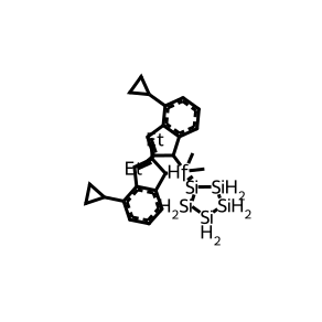 CCC1=Cc2c(C3CC3)cccc2[CH]1[Hf]([CH3])([CH3])([CH]1C(CC)=Cc2c(C3CC3)cccc21)=[Si]1[SiH2][SiH2][SiH2][SiH2]1